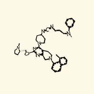 Cc1cccc2cccc(N3CCc4c(nc(OC[C@@H]5CCCN5C)nc4N4CCC(N=C=NCCCN(C)c5ccccc5)CC4)C3)c12